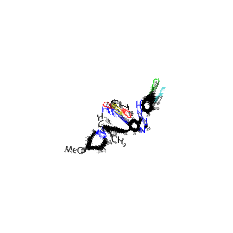 COC1CCN(C(C)(C)C#Cc2cc3ncnc(Nc4ccc(F)c(Cl)c4)c3cc2NS(C)(=O)=O)CC1